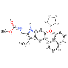 CCOC(=O)c1c(CNC(=O)OC(C)(C)C)n(C)c2cc(OC3CCCC3)c(-c3cccc4ccccc34)cc12